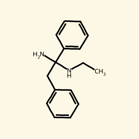 CCNC(N)(Cc1ccccc1)c1ccccc1